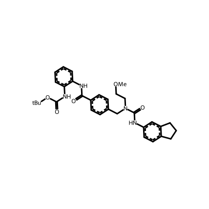 COCCN(Cc1ccc(C(=O)Nc2ccccc2NC(=O)OC(C)(C)C)cc1)C(=O)Nc1ccc2c(c1)CCC2